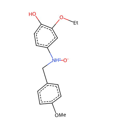 CCOc1cc([NH+]([O-])Cc2ccc(OC)cc2)ccc1O